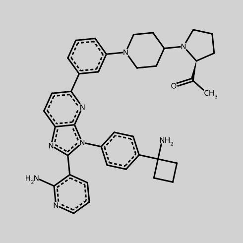 CC(=O)[C@@H]1CCCN1C1CCN(c2cccc(-c3ccc4nc(-c5cccnc5N)n(-c5ccc(C6(N)CCC6)cc5)c4n3)c2)CC1